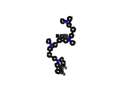 CC1(C)c2ccc(-c3ccc4c5cc(-c6cccc(-c7ccc(N(c8ccc9c(c8)C(C)(C)c8ccccc8-9)c8cccc9ccccc89)cc7)c6)ccc5n(-c5ccccc5)c4c3)cc2-c2ccc(N(c3ccccc3)c3ccc(-c4cccc(-c5ccc6c(c5)c5ccccc5n6-c5ccccc5)c4)cc3)cc21